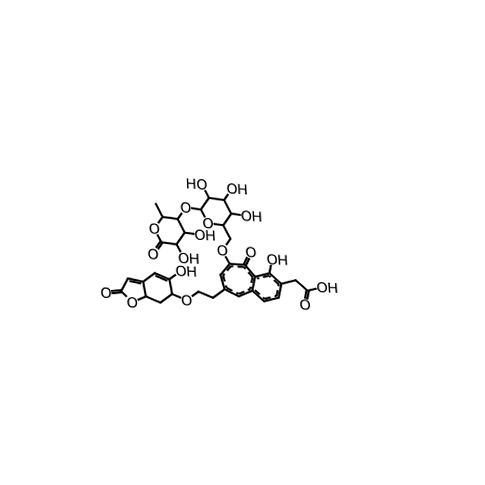 CC1OC(=O)C(O)C(O)C1OC1OC(COc2cc(CCOC3CC4OC(=O)C=C4C=C3O)cc3ccc(CC(=O)O)c(O)c3c2=O)C(O)C(O)C1O